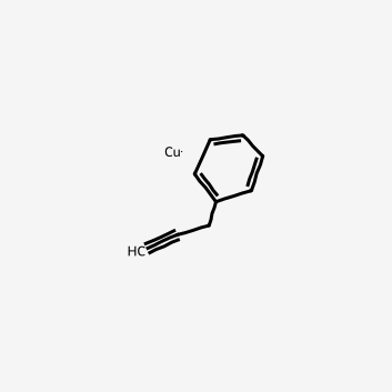 C#CCc1ccccc1.[Cu]